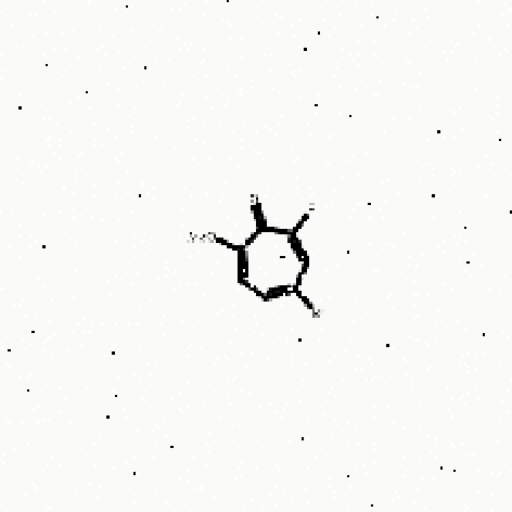 COc1ccc(Br)cc(F)c1=O